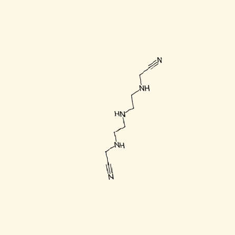 N#CCNCCNCCNCC#N